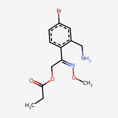 CCC(=O)OCC(=NOC)c1ccc(Br)cc1CN